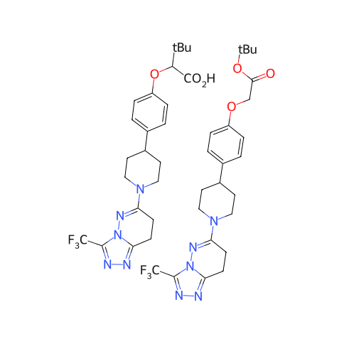 CC(C)(C)C(Oc1ccc(C2CCN(C3=Nn4c(nnc4C(F)(F)F)CC3)CC2)cc1)C(=O)O.CC(C)(C)OC(=O)COc1ccc(C2CCN(C3=Nn4c(nnc4C(F)(F)F)CC3)CC2)cc1